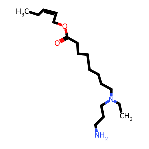 CC/C=C\COC(=O)CCCCCCCN(CC)CCCN